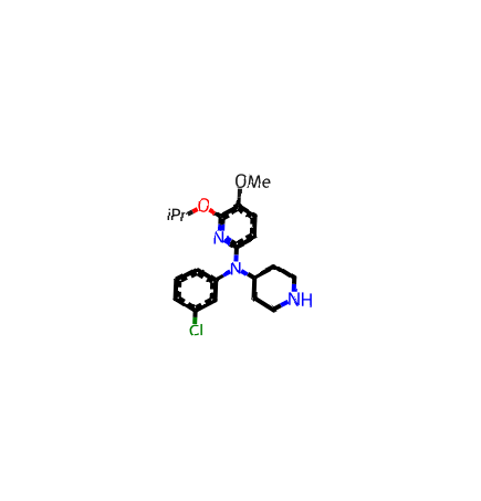 COc1ccc(N(c2cccc(Cl)c2)C2CCNCC2)nc1OC(C)C